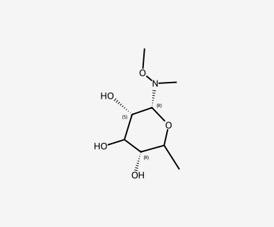 CON(C)[C@@H]1OC(C)[C@H](O)C(O)[C@@H]1O